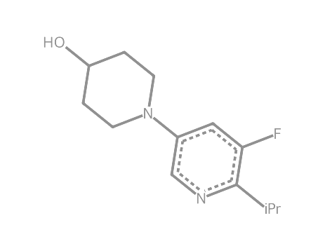 CC(C)c1ncc(N2CCC(O)CC2)cc1F